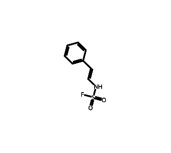 O=S(=O)(F)NC=Cc1ccccc1